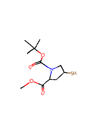 COC(=O)C1CC(S)CN1C(=O)OC(C)(C)C